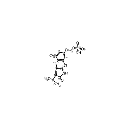 CC(C)c1cc(Oc2c(Cl)cc(OCOP(=O)(O)O)cc2Cl)n[nH]c1=O